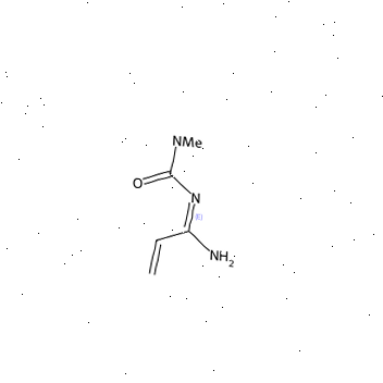 C=C/C(N)=N\C(=O)NC